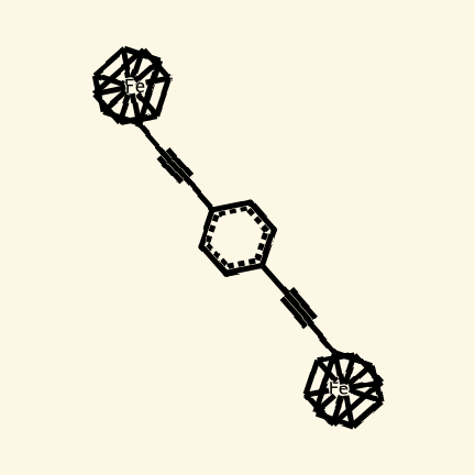 C(#C[C]12[CH]3[CH]4[CH]5[CH]1[Fe]45321678[CH]2[CH]1[CH]6[CH]7[CH]28)c1ccc(C#C[C]23[CH]4[CH]5[CH]6[CH]2[Fe]56432789[CH]3[CH]2[CH]7[CH]8[CH]39)cc1